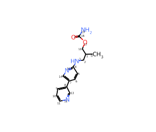 CC(CNc1ccc(-c2cccnc2)cn1)COC(N)=O